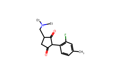 CCN(CC)CC1CC(=O)C(c2ccc(C)cc2F)C1=O